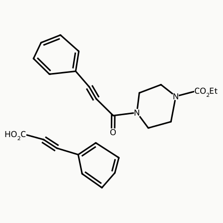 CCOC(=O)N1CCN(C(=O)C#Cc2ccccc2)CC1.O=C(O)C#Cc1ccccc1